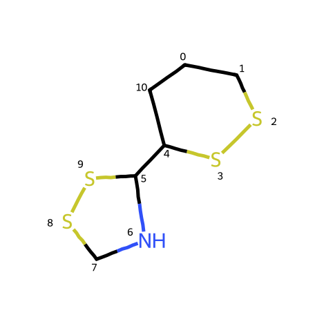 C1CSSC(C2NCSS2)C1